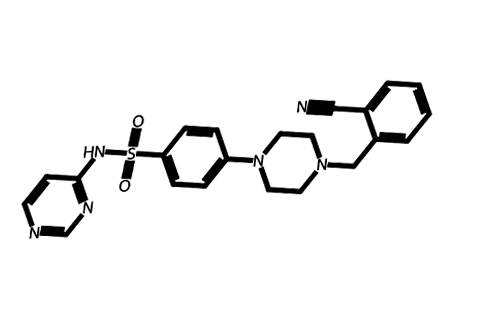 N#Cc1ccccc1CN1CCN(c2ccc(S(=O)(=O)Nc3ccncn3)cc2)CC1